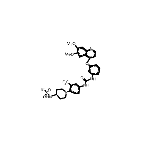 CCS(=O)(=O)NC1CCN(c2ccc(NC(=O)Nc3cccc(Oc4ccnc5cc(OC)c(OC)cc45)c3)cc2C(F)(F)F)CC1